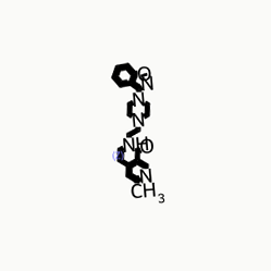 Cc1cc(/C=C\NCCN2CCN(c3noc4ccccc34)CC2)c(C=O)cn1